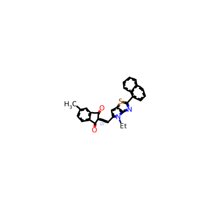 CCn1c(/C=C2/C(=O)c3ccc(C)cc3C2=O)cc2sc(-c3cccc4ccccc34)nc21